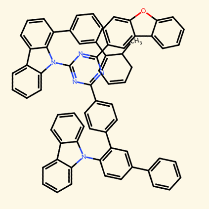 CC1CC=CC=C1c1cccc(-c2cccc3c4ccccc4n(-c4nc(-c5ccc(-c6cc(-c7ccccc7)ccc6-n6c7ccccc7c7ccccc76)cc5)nc(-c5ccc6oc7ccccc7c6c5)n4)c23)c1